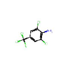 Nc1c(Cl)cc(C(Cl)(Cl)Cl)cc1Cl